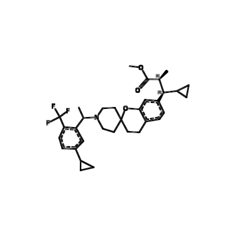 COC(=O)[C@@H](C)[C@H](c1ccc2c(c1)OC1(CC2)CCN(C(C)c2cc(C3CC3)ccc2C(F)(F)F)CC1)C1CC1